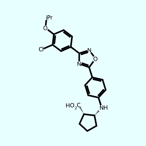 CC(C)Oc1ccc(-c2noc(-c3ccc(N[C@@H]4CCC[C@@H]4C(=O)O)cc3)n2)cc1Cl